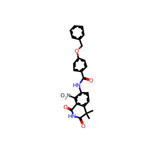 CC1(C)C(=O)NC(=O)c2c1ccc(NC(=O)c1ccc(OCc3ccccc3)cc1)c2[N+](=O)[O-]